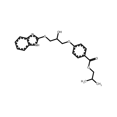 CC(C)COC(=O)c1ccc(OCC(O)CSc2nc3ccccc3[nH]2)cc1